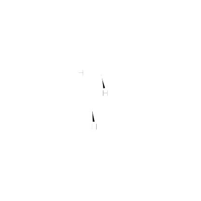 C=C[C@H]1CC[C@H]2[C@@H]3CCC4=C=CCC[C@]4(C)[C@H]3CC[C@]12C